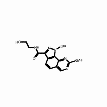 CSc1ncc2ccc3c(C(=O)NCCO)nn(C(C)(C)C)c3c2n1